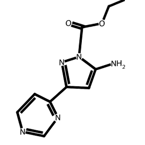 CCOC(=O)n1nc(-c2ccncn2)cc1N